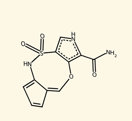 NC(=O)c1[nH]cc2c1O/C=C1/C=CC=C1NS2(=O)=O